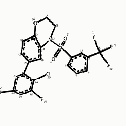 O=S(=O)(c1cccc(C(F)(F)F)c1)N1CCOc2ccc(-c3cc(Cl)cc(F)c3Cl)cc21